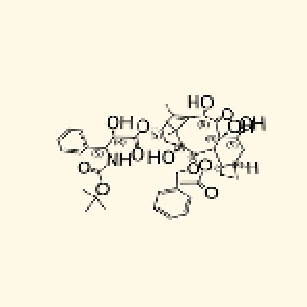 CC(=O)O[C@@]12CC[C@@H]1C[C@H](O)[C@@]1(O)C(=O)[C@H](O)C3=C(C)[C@@H](OC(=O)[C@H](O)[C@@H](NC(=O)OC(C)(C)C)c4ccccc4)C[C@@](O)([C@@H](OCc4ccccc4)C12)C3(C)C